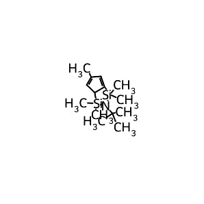 CC1=CC2C(=C1)[Si](C)(C)N(C(C)(C)C)[Si]2(C)C